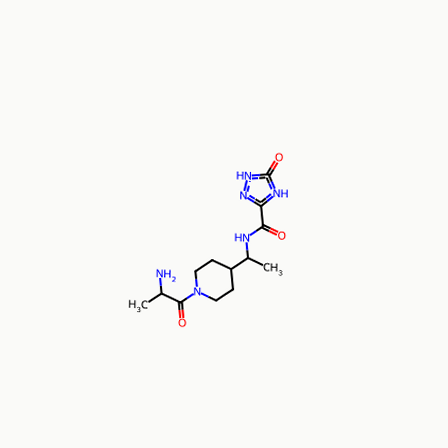 CC(N)C(=O)N1CCC(C(C)NC(=O)c2n[nH]c(=O)[nH]2)CC1